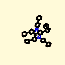 c1ccc(-c2ccc(N3c4ccc(-c5ccccc5)cc4B4c5cc(-c6ccccc6)ccc5N(c5ccc(-c6ccccc6)cc5)c5cc(C6CC7CC8CCC6C(C8)C7)cc3c54)cc2)cc1